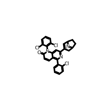 CN1C2C=C(c3cc4c(ccc(=O)n4-c4c(Cl)cccc4Cl)c(-c4ccccc4Cl)n3)CC1CC2